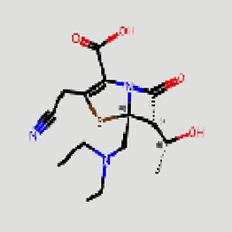 CCN(CC)C[C@@]12SC(CC#N)=C(C(=O)O)N1C(=O)[C@@H]2[C@@H](C)O